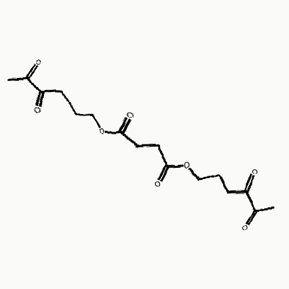 CC(=O)C(=O)CCCOC(=O)CCC(=O)OCCCC(=O)C(C)=O